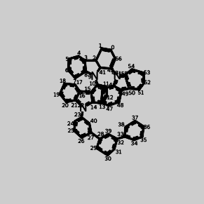 C1=CC2c3ccccc3N(c3cccc4c3c3ccccc3n4-c3cccc(-c4cccc(-c5ccccc5)c4)c3)C2C(n2c3ccccc3c3ccccc32)=C1